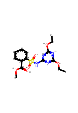 CCOc1nc(NS(=O)(=O)c2ccccc2C(=O)OC)nc(OCC)n1